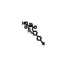 CC1(C(=O)O)CCN1C(=O)Cc1ccc(-c2ccc(C#N)cc2)cc1